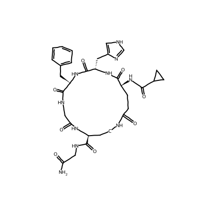 NC(=O)CNC(=O)[C@@H]1CCNC(=O)CC[C@H](NC(=O)C2CC2)C(=O)N[C@@H](Cc2c[nH]cn2)C(=O)N[C@H](Cc2ccccc2)C(=O)NCC(=O)N1